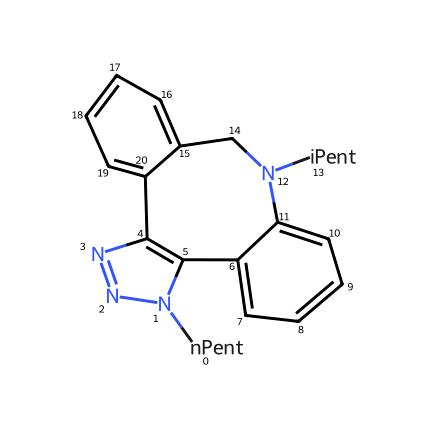 CCCCCn1nnc2c1-c1ccccc1N(C(C)CCC)Cc1ccccc1-2